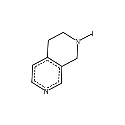 IN1CCc2ccncc2C1